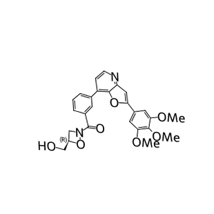 COc1cc(-c2cc3nccc(-c4cccc(C(=O)N5C[C@H](CO)O5)c4)c3o2)cc(OC)c1OC